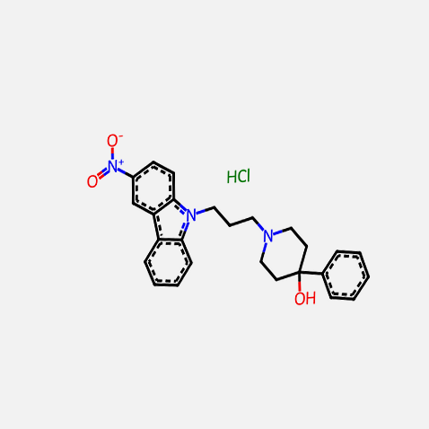 Cl.O=[N+]([O-])c1ccc2c(c1)c1ccccc1n2CCCN1CCC(O)(c2ccccc2)CC1